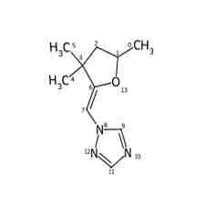 CC1CC(C)(C)C(=Cn2cncn2)O1